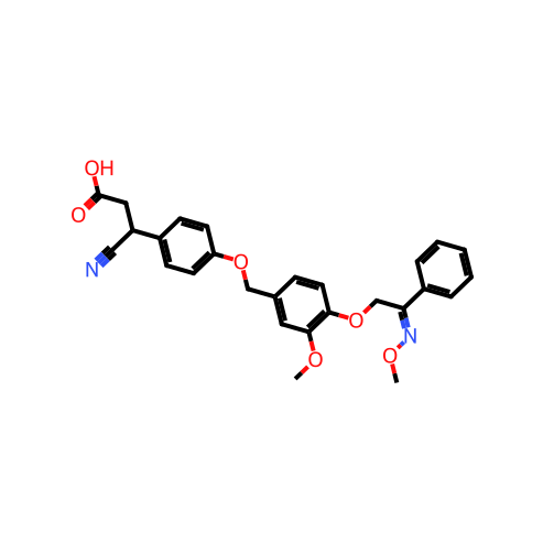 CON=C(COc1ccc(COc2ccc(C(C#N)CC(=O)O)cc2)cc1OC)c1ccccc1